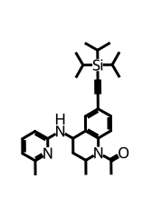 CC(=O)N1c2ccc(C#C[Si](C(C)C)(C(C)C)C(C)C)cc2C(Nc2cccc(C)n2)CC1C